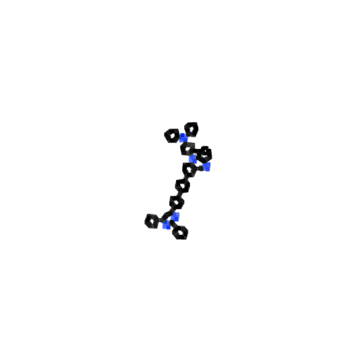 N#Cc1cc(-c2ccc(-c3ccc(-c4cc(-c5ccccc5)nc(-c5ccccc5)n4)cc3)cc2)ccc1-n1c2ccccc2c2cc(N(c3ccccc3)c3ccccc3)ccc21